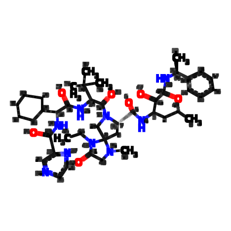 CCCC(NC(=O)[C@@H]1CC2(CN1C(=O)C(NC(=O)C(NC(=O)c1cnccn1)C1CCCCC1)C(C)(C)C)N(C)CC(=O)N2CC)C(=O)C(=O)N[C@@H](C)c1ccccc1